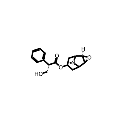 CN1C2CC(OC(=O)[C@H](CO)c3ccccc3)CC1[C@H]1OC21